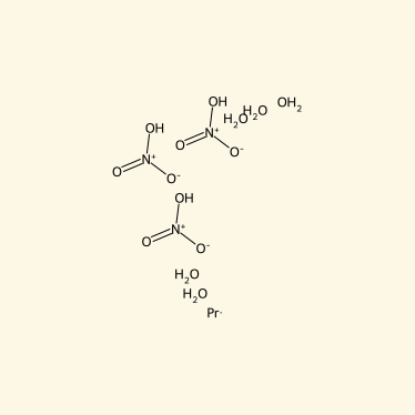 O.O.O.O.O.O=[N+]([O-])O.O=[N+]([O-])O.O=[N+]([O-])O.[Pr]